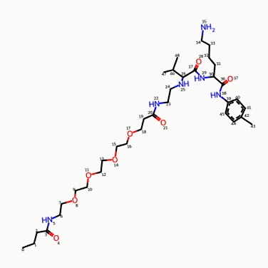 CCCC(=O)NCCOCCOCCOCCOCCC(=O)NCCN[C@H](C(=O)NC(CCCCN)C(=O)Nc1ccc(C)cc1)C(C)C